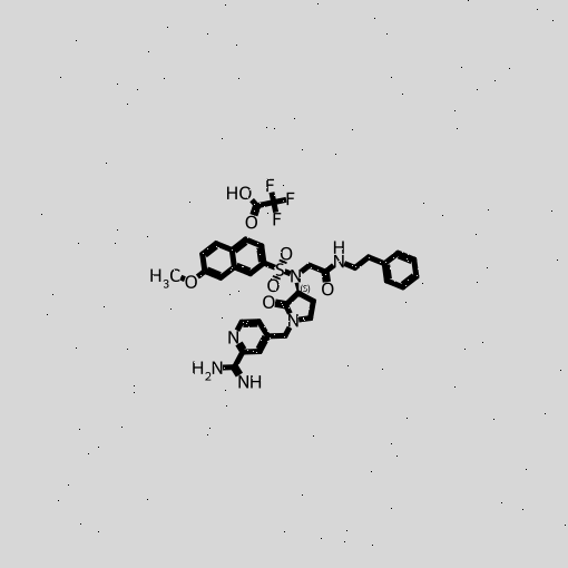 COc1ccc2ccc(S(=O)(=O)N(CC(=O)NCCc3ccccc3)[C@H]3CCN(Cc4ccnc(C(=N)N)c4)C3=O)cc2c1.O=C(O)C(F)(F)F